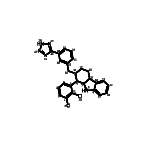 Clc1cccc(C2C3Nc4ccccc4C3CCN2Cc2cccc(-c3nn[nH]n3)c2)c1Cl